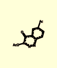 CC(=O)On1nnc2ccc(C(C)=O)cc2c1=O